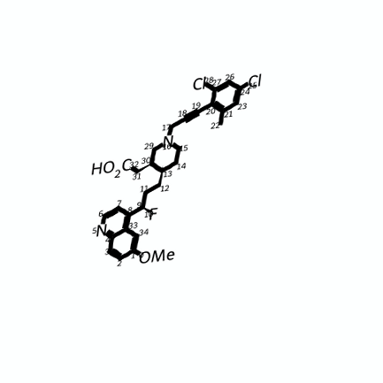 COc1ccc2nccc([C@H](F)CC[C@@H]3CCN(CC#Cc4c(C)cc(Cl)cc4Cl)C[C@@H]3CC(=O)O)c2c1